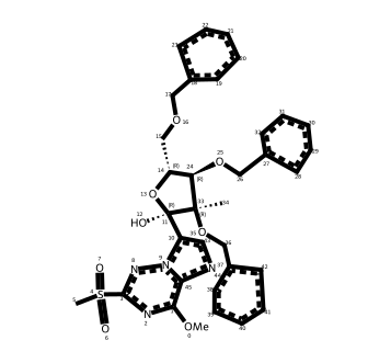 COc1nc(S(C)(=O)=O)nn2c([C@@]3(O)O[C@H](COCc4ccccc4)[C@@H](OCc4ccccc4)[C@@]3(C)OCc3ccccc3)cnc12